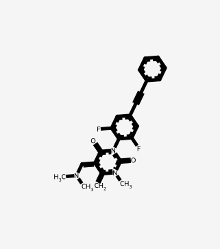 C=c1/c(=C\N(C)C)c(=O)n(-c2c(F)cc(C#Cc3ccccc3)cc2F)c(=O)n1C